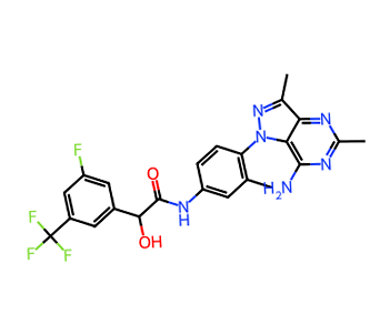 Cc1nc(N)c2c(n1)c(C)nn2-c1ccc(NC(=O)C(O)c2cc(F)cc(C(F)(F)F)c2)cc1C